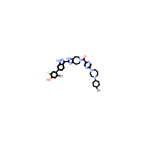 CCc1cc(O)c(F)cc1-c1ccc2c(-c3nc4c([nH]3)CCN(C(=O)c3cnc(N5CCCN(C6CCC(C(C)C)CC6)CC5)cn3)CC4)n[nH]c2c1